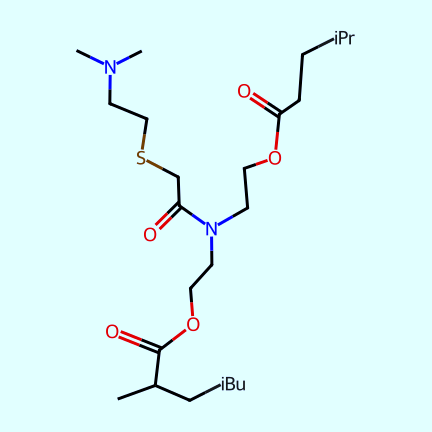 CCC(C)CC(C)C(=O)OCCN(CCOC(=O)CCC(C)C)C(=O)CSCCN(C)C